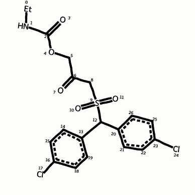 CCNC(=O)OCC(=O)CS(=O)(=O)C(c1ccc(Cl)cc1)c1ccc(Cl)cc1